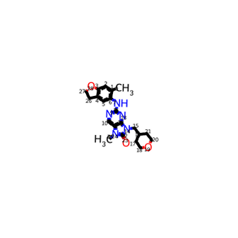 Cc1cc2c(cc1Nc1ncc3c(n1)n(CC1CCOCC1)c(=O)n3C)CCO2